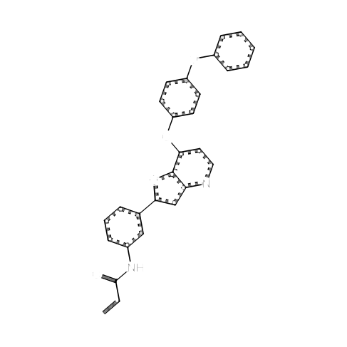 C=CC(=O)Nc1cccc(-c2cc3nccc(Oc4ccc(Oc5ccccc5)cc4)c3o2)c1